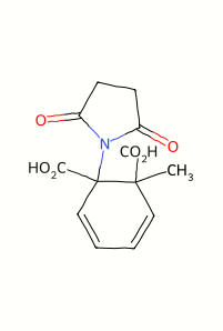 CC1(C(=O)O)C=CC=CC1(C(=O)O)N1C(=O)CCC1=O